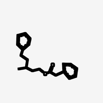 CC(CCOC(=O)Cc1ccccc1)CCc1ccccc1